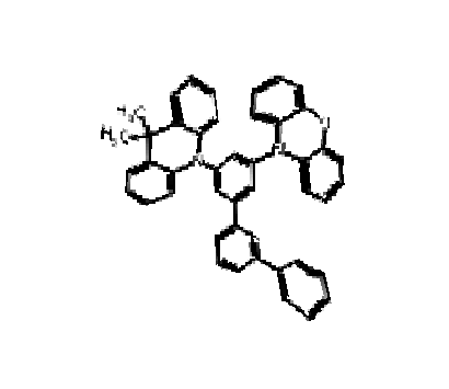 CC1(C)c2ccccc2N(c2cc(-c3cccc(-c4ccccc4)n3)cc(N3c4ccccc4Oc4ccccc43)c2)c2ccccc21